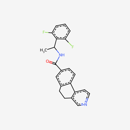 CC(NC(=O)c1ccc2c(c1)CCc1cnccc1-2)c1c(F)cccc1F